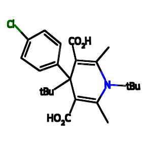 CC1=C(C(=O)O)C(c2ccc(Cl)cc2)(C(C)(C)C)C(C(=O)O)=C(C)N1C(C)(C)C